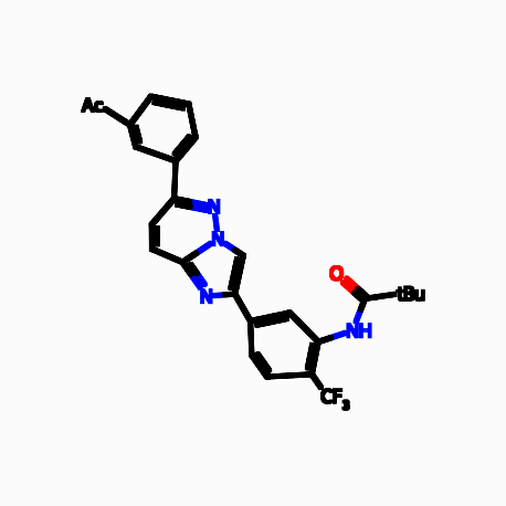 CC(=O)c1cccc(-c2ccc3nc(-c4ccc(C(F)(F)F)c(NC(=O)C(C)(C)C)c4)cn3n2)c1